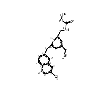 CC(C)(C)OC(=O)NCc1cc(CO)cc(Cc2ccc3ncc(Cl)cc3c2)n1